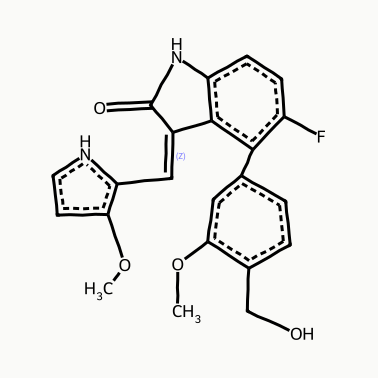 COc1cc(-c2c(F)ccc3c2/C(=C/c2[nH]ccc2OC)C(=O)N3)ccc1CO